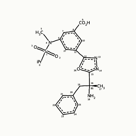 CC(C)S(=O)(=O)N(C)c1cc(C(=O)O)cc(-c2nnc([C@](C)(N)Cc3ccccc3)o2)c1